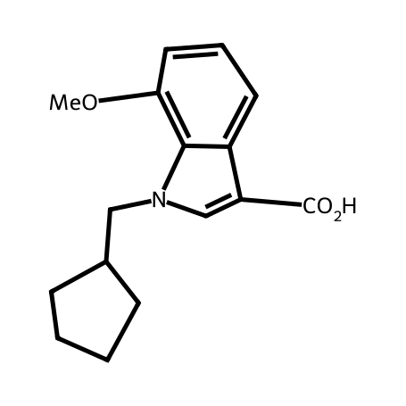 COc1cccc2c(C(=O)O)cn(CC3CCCC3)c12